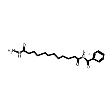 NNC(=O)CCCCCCCCCCC(=O)N(N)C(=O)c1ccccc1